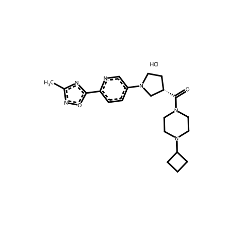 Cc1noc(-c2ccc(N3CC[C@H](C(=O)N4CCN(C5CCC5)CC4)C3)cn2)n1.Cl